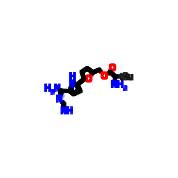 CC(C)(C)C(N)C(=O)OCC1CCC(c2ccc(/C(N)=N\C=N)[nH]2)O1